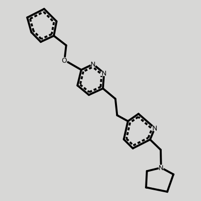 c1ccc(COc2ccc(CCc3ccc(CN4CCCC4)nc3)nn2)cc1